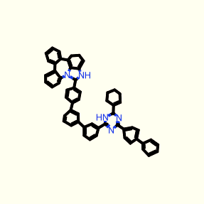 C1=C2NC(c3ccc(-c4cccc(-c5cccc(C6=NC(c7ccc(-c8ccccc8)cc7)=NC(C7=CCCCC7)N6)c5)c4)cc3)N3C2=C(CC1)c1ccccc1-c1ccccc13